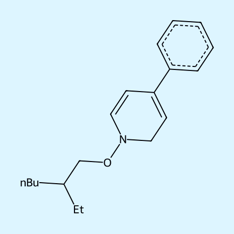 CCCCC(CC)CON1C=CC(c2ccccc2)=CC1